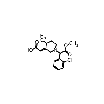 COC(=O)C(c1ccccc1Cl)N1CCC(C)/C(=C\C(=O)O)C1